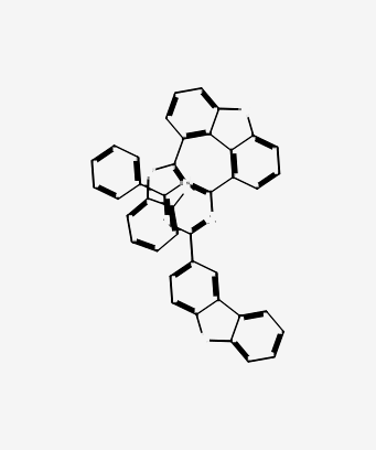 c1ccc(-c2nc(-c3ccc4sc5ccccc5c4c3)nc(-c3cccc4oc5cccc(-c6nc7ccccc7o6)c5c34)n2)cc1